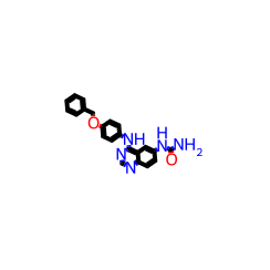 NC(=O)Nc1ccc2ncnc(Nc3ccc(OCc4ccccc4)cc3)c2c1